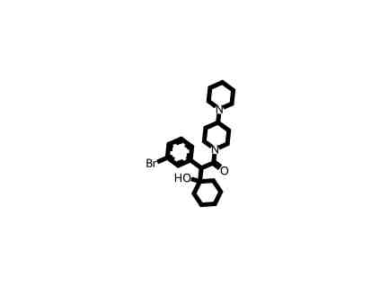 O=C(C(c1cccc(Br)c1)C1(O)CCCCC1)N1CCC(N2CCCCC2)CC1